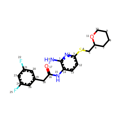 Nc1nc(SCC2CCCCO2)ccc1NC(=O)Cc1cc(F)cc(F)c1